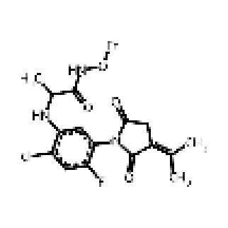 CCONC(=O)C(C)Nc1cc(N2C(=O)CC(=C(C)C)C2=O)c(F)cc1Cl